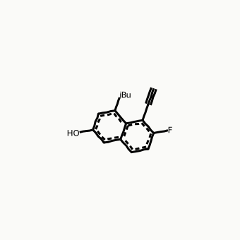 C#Cc1c(F)ccc2cc(O)cc(C(C)CC)c12